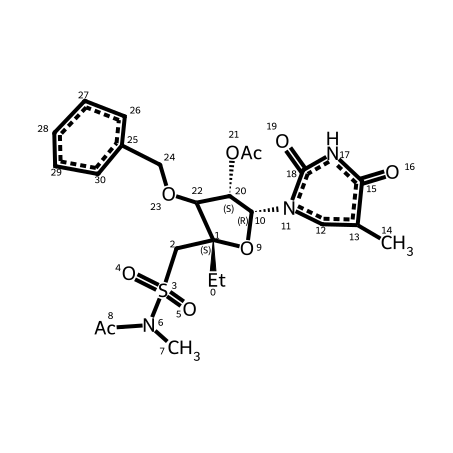 CC[C@]1(CS(=O)(=O)N(C)C(C)=O)O[C@@H](n2cc(C)c(=O)[nH]c2=O)[C@@H](OC(C)=O)C1OCc1ccccc1